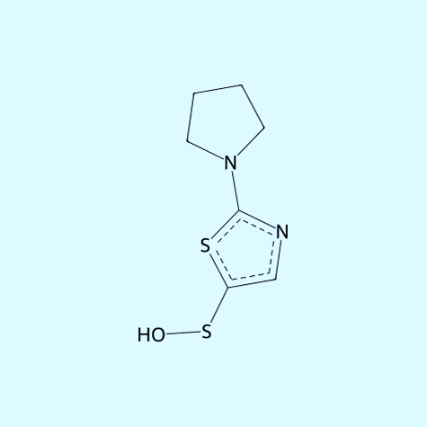 OSc1cnc(N2CCCC2)s1